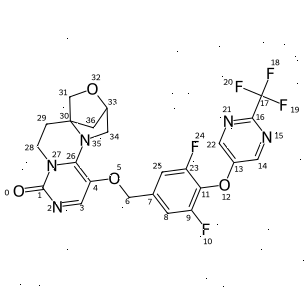 O=c1ncc(OCc2cc(F)c(Oc3cnc(C(F)(F)F)nc3)c(F)c2)c2n1CCC13COC(CN21)C3